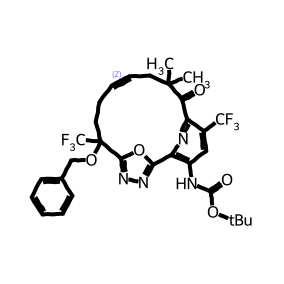 CC(C)(C)OC(=O)Nc1cc(C(F)(F)F)c2nc1-c1nnc(o1)C(OCc1ccccc1)(C(F)(F)F)CC/C=C\CC(C)(C)C2=O